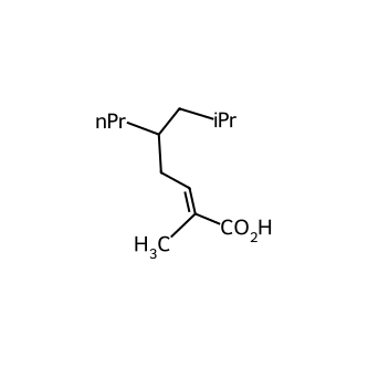 CCCC(CC=C(C)C(=O)O)CC(C)C